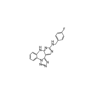 Fc1ccc(CNc2ncc3c(n2)Nc2ccccc2-n2nnnc2-3)cc1